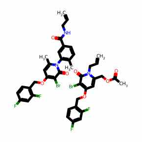 C=CCNC(=O)c1ccc(C)c(-n2c(C)cc(OCc3ccc(F)cc3F)c(Br)c2=O)c1.C=CCn1c(COC(C)=O)cc(OCc2ccc(F)cc2F)c(Br)c1=O